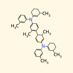 Cc1cccc(N(C2=CC(C)C(c3ccc(N(C4=CC(C)CCC4)c4cccc(C)c4)cc3C)C=C2)C2=CC(C)CCC2)c1